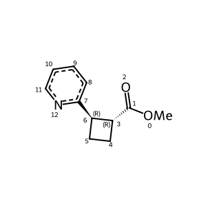 COC(=O)[C@@H]1CC[C@H]1c1ccccn1